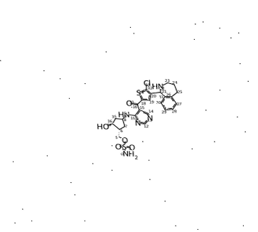 NS(=O)(=O)OC[C@H]1CC(Nc2ncncc2C(=O)c2cc(C3NCCCc4ccccc43)c(Cl)s2)C[C@@H]1O